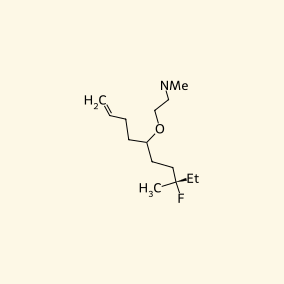 C=CCCC(CC[C@@](C)(F)CC)OCCNC